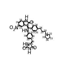 O=C1NC(=O)C(=Cc2ccc(NC(=C3C(=O)Nc4ccc([N+](=O)[O-])cc43)c3ccc(CCCN4CCCC4)cc3)cc2)N1